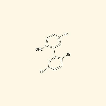 O=Cc1ccc(Br)cc1-c1cc(Cl)ccc1Br